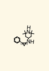 CC1(C)CC(N[C@@H]2C[C@H]2c2ccccc2)CC(C)(C)N1